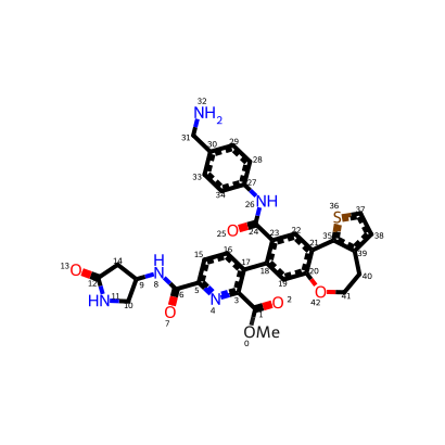 COC(=O)c1nc(C(=O)NC2CNC(=O)C2)ccc1-c1cc2c(cc1C(=O)Nc1ccc(CN)cc1)-c1sccc1CCO2